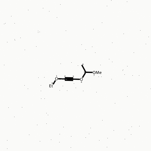 CCOC#COC(C)OC